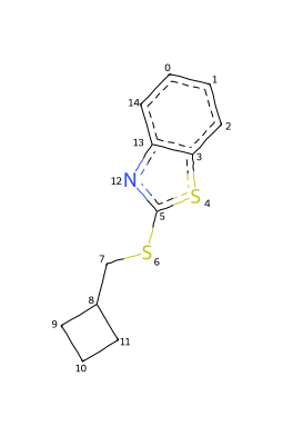 c1ccc2sc(SCC3CCC3)nc2c1